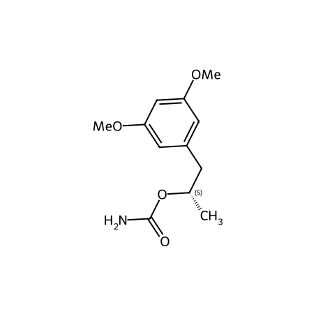 COc1cc(C[C@H](C)OC(N)=O)cc(OC)c1